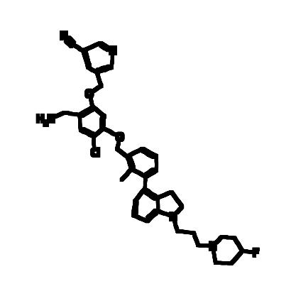 Cc1c(COc2cc(OCc3cncc(C#N)c3)c(CN)cc2Cl)cccc1-c1cccc2c1CCN2CCCN1CCC(F)CC1